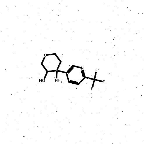 NC1(c2ccc(C(F)(F)F)nc2)CCOCC1O